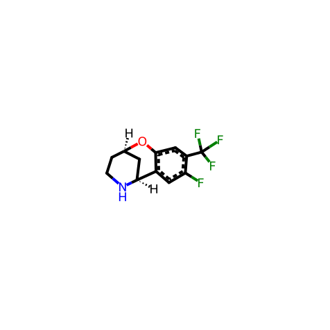 Fc1cc2c(cc1C(F)(F)F)O[C@@H]1CCN[C@H]2C1